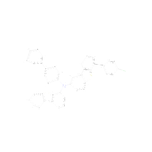 Clc1ccc(-c2cccc3c2sc2ccc(N(c4ccc(-c5ccccc5)cc4)c4cccc5c4sc4ccccc45)cc23)cc1